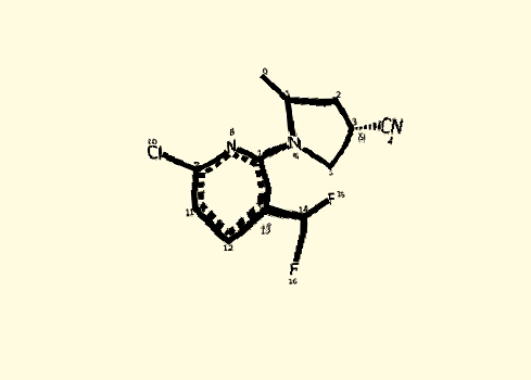 CC1C[C@H](C#N)CN1c1nc(Cl)ccc1C(F)F